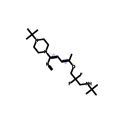 C=N/C(=C\C=C(/C)OCC(F)(F)CNC(C)(C)C)N1CCN(C(C)(C)C)CC1